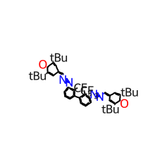 CC(C)(C)C1=CC(=C/N=N/c2cccc(-c3cccc(/N=N/C=C4C=C(C(C)(C)C)C(=O)C(C(C)(C)C)=C4)c3C(F)(F)F)c2C(F)(F)F)C=C(C(C)(C)C)C1=O